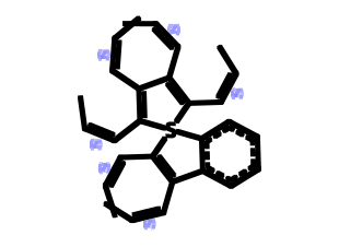 C/C=C\C1=C(/C=C\C)S2(C(/C=C\C)=C1/C=C\C)C(/C=C\C)=C(/C=C\C)c1ccccc12